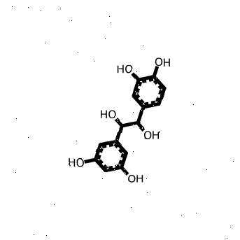 Oc1cc(O)cc(C(O)C(O)c2ccc(O)c(O)c2)c1